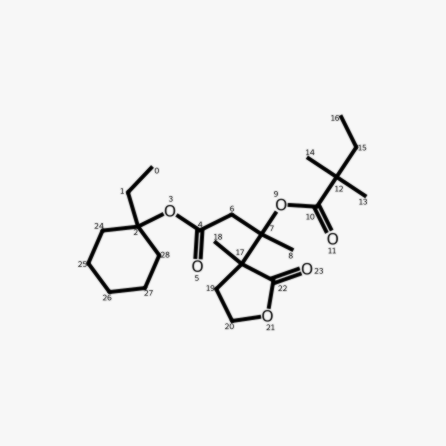 CCC1(OC(=O)CC(C)(OC(=O)C(C)(C)CC)C2(C)CCOC2=O)CCCCC1